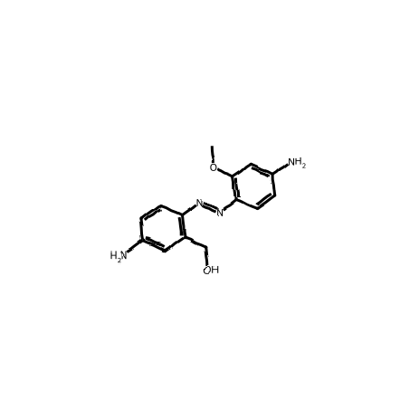 COc1cc(N)ccc1N=Nc1ccc(N)cc1CO